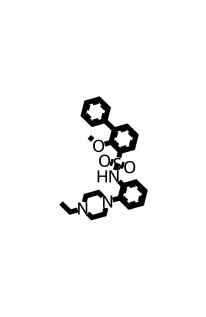 CCN1CCN(c2ccccc2NS(=O)(=O)c2cccc(-c3ccccc3)c2OC)CC1